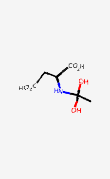 CC(O)(O)NC(CC(=O)O)C(=O)O